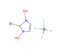 CCC1N(O)C=CN1O.F[B-](F)(F)F